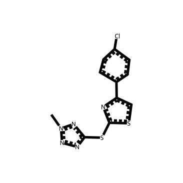 Cn1nnc(Sc2nc(-c3ccc(Cl)cc3)cs2)n1